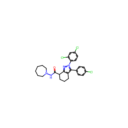 O=C(NN1CCCCCC1)C1CCCc2c1nn(-c1ccc(Cl)cc1Cl)c2-c1ccc(Cl)cc1